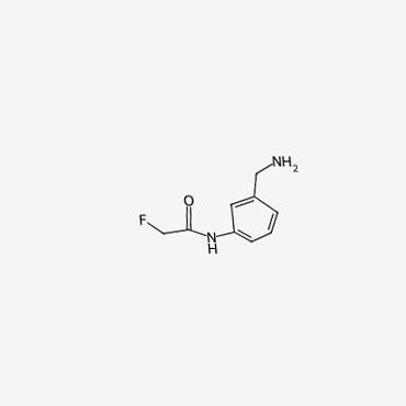 NCc1cccc(NC(=O)CF)c1